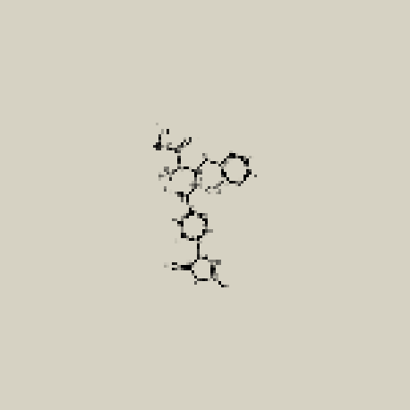 CC1=NN(c2ccc(C(=O)N[C@H](Cc3ccccc3Cl)[C@@H](O)C(=O)NO)cc2)C(=O)C1